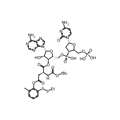 CCSSc1cccc(C)c1OC(=O)C[C@H](NC(=O)OC(C)(C)C)C(=O)O[C@H]1[C@@H](O)[C@H](n2cnc3c(N)ncnc32)O[C@@H]1COP(=O)(O)[C@H]1C[C@H](n2ccc(N)nc2=O)OC1COP(=O)(O)O